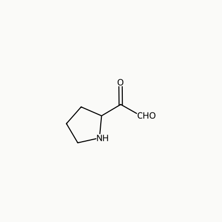 O=CC(=O)C1CCCN1